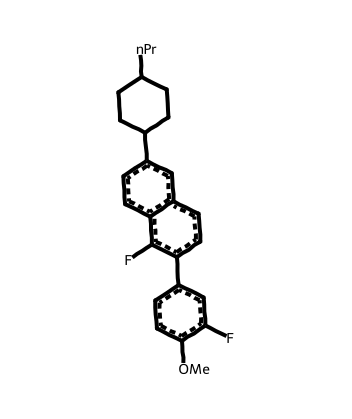 CCCC1CCC(c2ccc3c(F)c(-c4ccc(OC)c(F)c4)ccc3c2)CC1